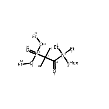 CCCCCC[N+](CC)(CC)C(=O)C(C)(C)P(=O)(OCC)OCC